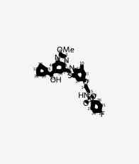 COc1cnc2c(-c3nc4c(C)cc(OCCNS(=O)(=O)c5ccc(F)cc5)cc4s3)cc(C(O)c3ccccc3)cc2n1